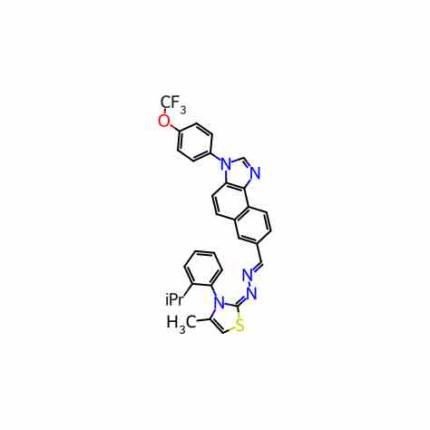 Cc1csc(=NN=Cc2ccc3c(ccc4c3ncn4-c3ccc(OC(F)(F)F)cc3)c2)n1-c1ccccc1C(C)C